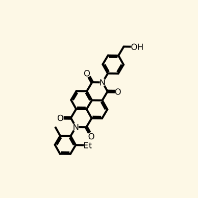 CCc1cccc(C)c1N1C(=O)c2ccc3c4c(ccc(c24)C1=O)C(=O)N(c1ccc(CO)cc1)C3=O